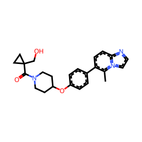 Cc1c(-c2ccc(OC3CCN(C(=O)C4(CO)CC4)CC3)cc2)ccc2nccn12